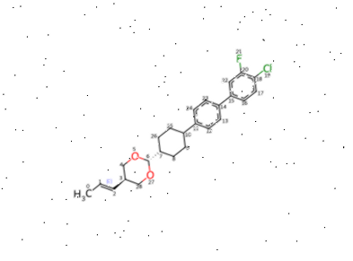 C/C=C/[C@H]1CO[C@H](C2CCC(c3ccc(-c4ccc(Cl)c(F)c4)cc3)CC2)OC1